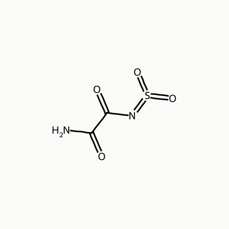 NC(=O)C(=O)N=S(=O)=O